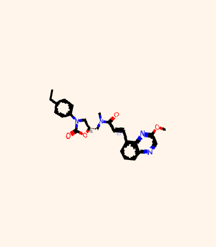 CCc1ccc(N2C[C@H](CN(C)C(=O)/C=C/c3cccc4ncc(OC)nc34)OC2=O)cc1